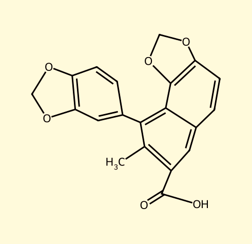 Cc1c(C(=O)O)cc2ccc3c(c2c1-c1ccc2c(c1)OCO2)OCO3